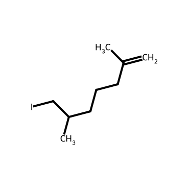 C=C(C)CCCC(C)CI